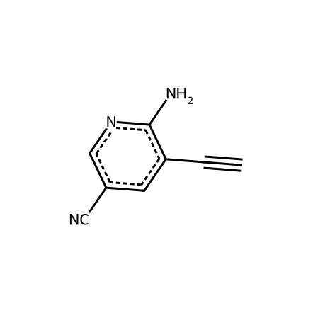 C#Cc1cc(C#N)cnc1N